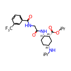 CC(C)N[C@@H]1CC[C@H](NC(=O)CNC(=O)c2cccc(C(F)(F)F)c2)[C@H](C(=O)OC(C)C)C1